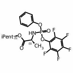 CCC[C@H](C)OC(=O)[C@H](C)NP(=O)(Oc1ccccc1)Oc1c(F)c(F)c(F)c(F)c1F